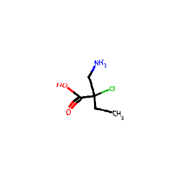 CCC(Cl)(CN)C(=O)O